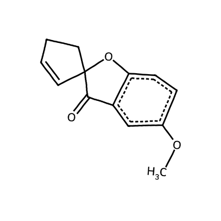 COc1ccc2c(c1)C(=O)C1(C=CCC1)O2